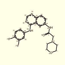 O=C(CN1CCOCC1)Nc1ccc2ncnc(Nc3ccc(F)c(F)c3)c2c1